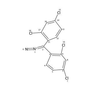 [N-]=[N+]=C(c1ccc(Cl)cc1Cl)c1ccc(Cl)cc1Cl